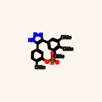 COc1ccc(-c2[nH]nnc2-c2cc(OC)c(OC)c(OC)c2)cc1O[SH](=O)=O